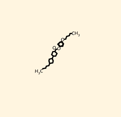 CCCCCOc1ccc(OC(=O)C2CCC(C3CCC(CCCCC)CC3)CC2)cc1